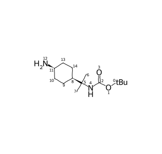 CC(C)(C)OC(=O)NC(C)(C)[C@H]1CC[C@@H](N)CC1